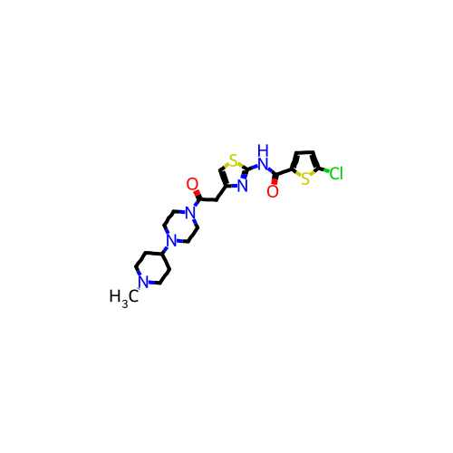 CN1CCC(N2CCN(C(=O)Cc3csc(NC(=O)c4ccc(Cl)s4)n3)CC2)CC1